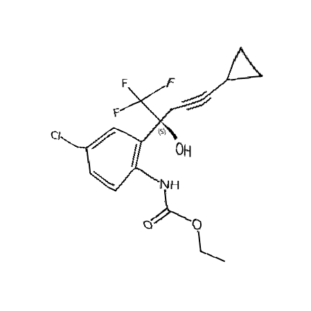 CCOC(=O)Nc1ccc(Cl)cc1[C@@](O)(C#CC1CC1)C(F)(F)F